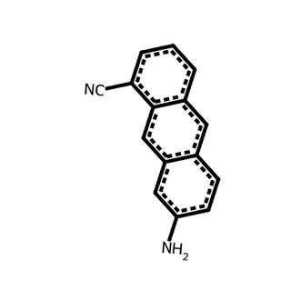 N#Cc1cccc2cc3ccc(N)cc3cc12